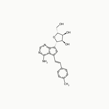 Cc1ccc(/C=C/c2cc([C@@H]3O[C@H](CO)[C@@H](O)[C@H]3O)n3ncnc(N)c23)cc1